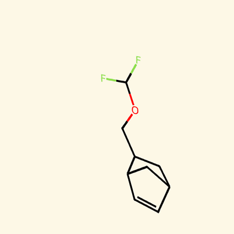 FC(F)OCC1CC2C=CC1C2